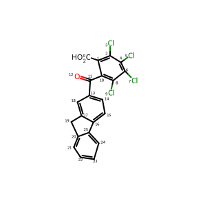 O=C(O)c1c(Cl)c(Cl)c(Cl)c(Cl)c1C(=O)c1ccc2c(c1)Cc1ccccc1-2